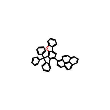 c1ccc(C2(c3ccccc3)c3ccccc3-c3c(-c4ccc5ccc6cccc7ccc4c5c67)cc4c(oc5ccccc54)c32)cc1